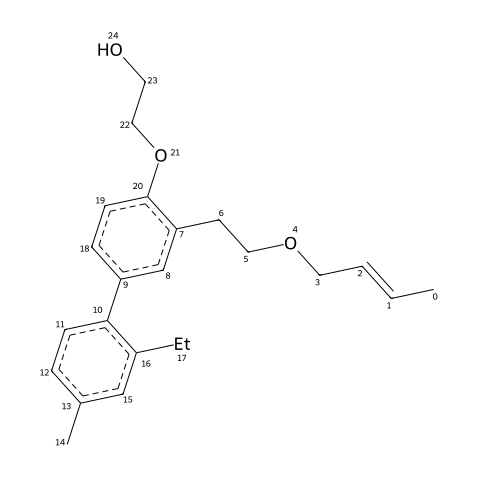 C/C=C/COCCc1cc(-c2ccc(C)cc2CC)ccc1OCCO